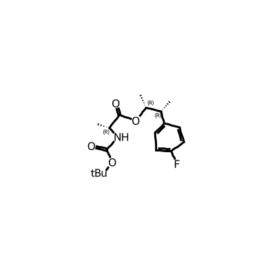 C[C@H](c1ccc(F)cc1)[C@@H](C)OC(=O)[C@@H](C)NC(=O)OC(C)(C)C